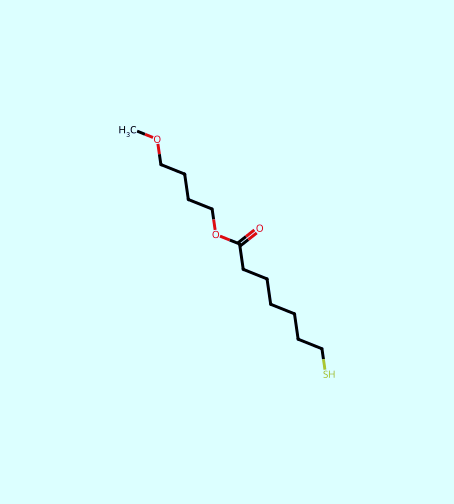 COCCCCOC(=O)CCCCCCS